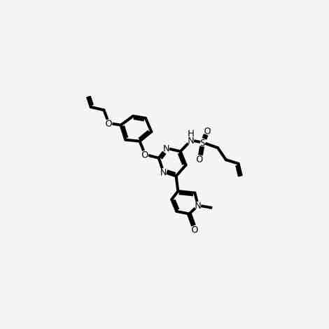 C=CCCS(=O)(=O)Nc1cc(-c2ccc(=O)n(C)c2)nc(Oc2cccc(OCC=C)c2)n1